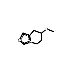 COC1CCn2cncc2C1